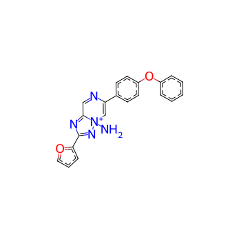 N[N+]12C=C(c3ccc(Oc4ccccc4)cc3)N=CC1=NC(c1ccco1)=N2